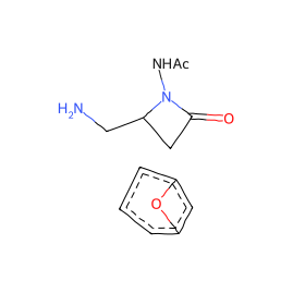 CC(=O)NN1C(=O)CC1CN.c1cc2cc(c1)O2